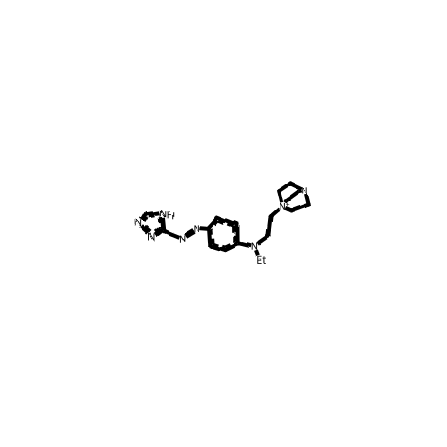 CCN(CC[N+]12CCN(CC1)CC2)c1ccc(/N=N/c2nnc[nH]2)cc1